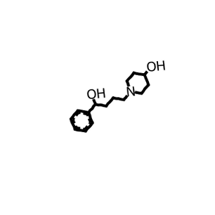 OC1CCN(CCCC(O)c2ccccc2)CC1